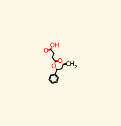 C=CCC(OC(=O)CCC(=O)O)c1ccccc1